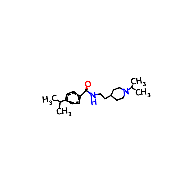 CC(C)c1ccc(C(=O)NCCC2CCN(C(C)C)CC2)cc1